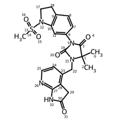 CC1(C)C(=O)N(c2ccc3c(c2)N(S(C)(=O)=O)CC3)C(=O)N1Cc1ccnc2c1CC(=O)N2